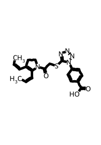 C/C=C\C1=C(/C=C\C)N(C(=O)CSc2nnnn2-c2ccc(C(=O)O)cc2)CC1